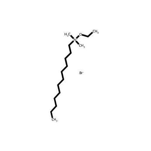 CCCCCCCCCCCC[N+](C)(C)OCC.[Br-]